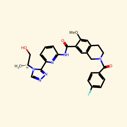 COc1cc2c(cc1C(=O)Nc1cccc(-c3nncn3[C@H](C)CO)n1)CN(C(=O)c1ccc(F)cc1)CC2